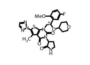 COc1ccc(F)cc1[C@H](Cn1c(=O)n(C2CCNC2=O)c(=O)c2c(C)c(-n3nccn3)sc21)OC1CCOCC1